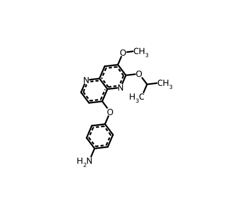 COc1cc2nccc(Oc3ccc(N)cc3)c2nc1OC(C)C